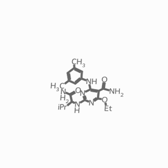 CCOc1nc(NC(C(N)=O)C(C)C)nc(Nc2cc(C)cc(C)c2)c1C(N)=O